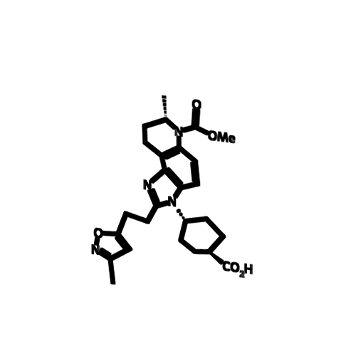 COC(=O)N1c2ccc3c(nc(CCc4cc(C)no4)n3[C@H]3CC[C@H](C(=O)O)CC3)c2CC[C@@H]1C